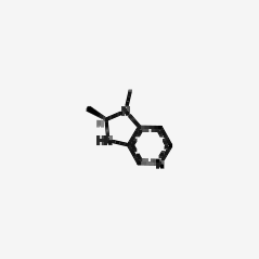 C[C@@H]1Nc2cnccc2N1C